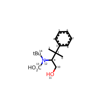 CC(C)(c1ccccc1)C(CO)N(C(=O)O)C(C)(C)C